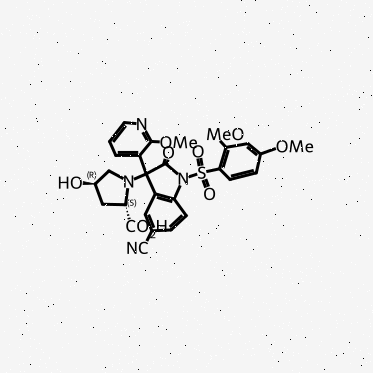 COc1ccc(S(=O)(=O)N2C(=O)C(c3cccnc3OC)(N3C[C@H](O)C[C@H]3C(=O)O)c3cc(C#N)ccc32)c(OC)c1